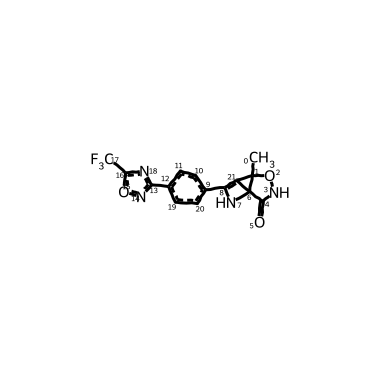 CC12ONC(=O)C13NC(c1ccc(-c4noc(C(F)(F)F)n4)cc1)=C23